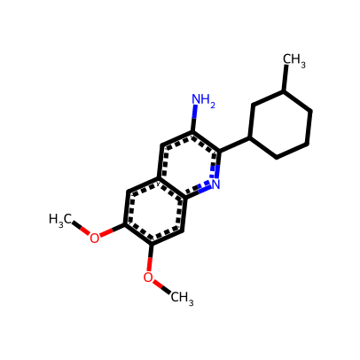 COc1cc2cc(N)c(C3CCCC(C)C3)nc2cc1OC